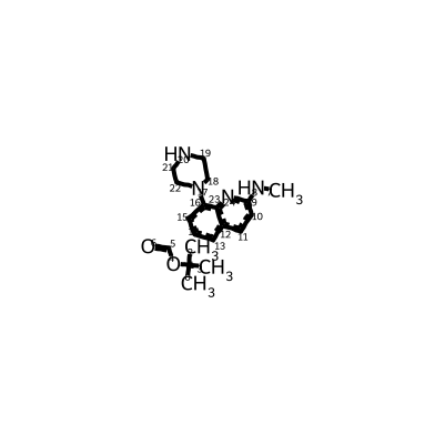 CC(C)(C)OC=O.CNc1ccc2cccc(N3CCNCC3)c2n1